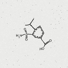 CC(C)c1ccc(C(=O)O)cc1S(N)(=O)=O